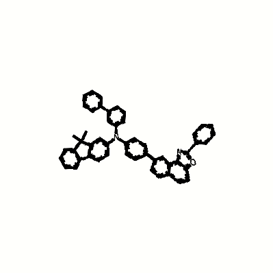 CC1(C)c2ccccc2-c2ccc(N(c3ccc(-c4ccc5ccc6oc(-c7ccccc7)nc6c5c4)cc3)c3cccc(-c4ccccc4)c3)cc21